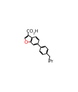 CC(C)Cc1ccc(-c2ccc3c(C(=O)O)coc3c2)cc1